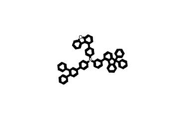 c1ccc(-c2ccc(-c3ccc(N(c4ccc(-c5cccc6oc7ccccc7c56)cc4)c4cccc(-c5cccc6c5-c5ccccc5C6(c5ccccc5)c5ccccc5)c4)cc3)cc2-c2ccccc2)cc1